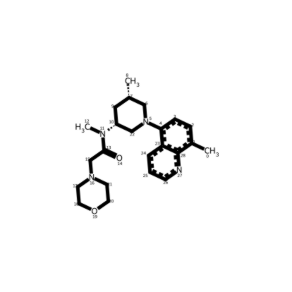 Cc1ccc(N2C[C@@H](C)C[C@@H](N(C)C(=O)CN3CCOCC3)C2)c2cccnc12